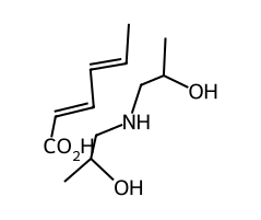 C/C=C/C=C/C(=O)O.CC(O)CNCC(C)O